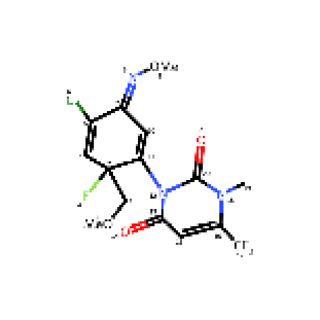 COCC1(F)C=C(Cl)C(=NOC)C=C1n1c(=O)cc(C(F)(F)F)n(C)c1=O